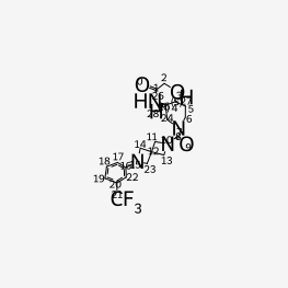 O=C1CO[C@H]2CCN(C(=O)N3CC4(C3)CN(c3cccc(C(F)(F)F)c3)C4)C[C@H]2N1